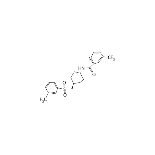 O=C(N[C@H]1CC[C@H](CS(=O)(=O)c2cccc(C(F)(F)F)c2)CC1)c1cc(C(F)(F)F)ccn1